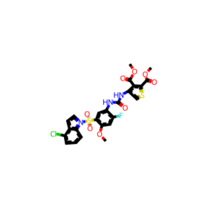 COC(=O)c1scc(NC(=O)Nc2cc(S(=O)(=O)n3ccc4c(Cl)cccc43)c(OC)cc2F)c1C(=O)OC